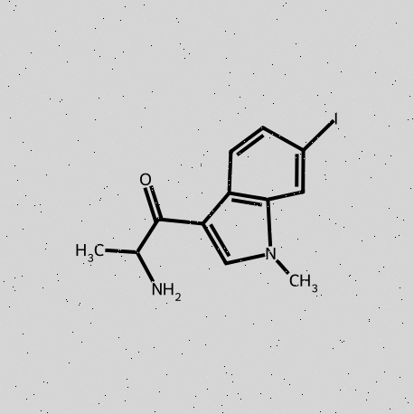 CC(N)C(=O)c1cn(C)c2cc(I)ccc12